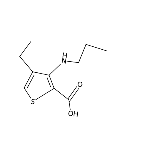 CCCNc1c(CC)csc1C(=O)O